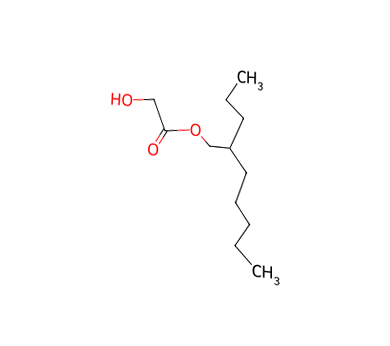 CCCCCC(CCC)COC(=O)CO